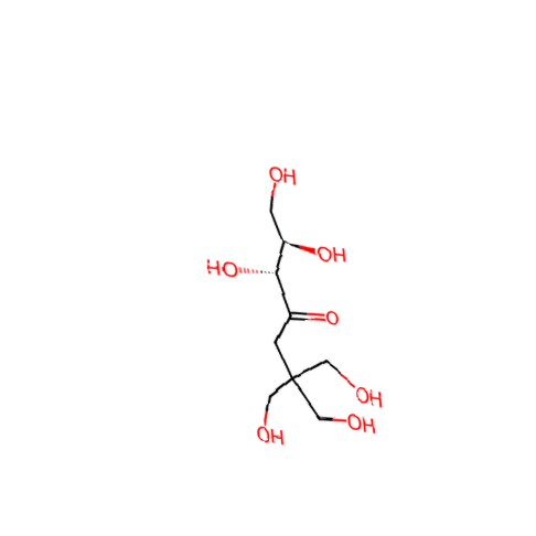 O=C(CC(CO)(CO)CO)[C@H](O)[C@H](O)CO